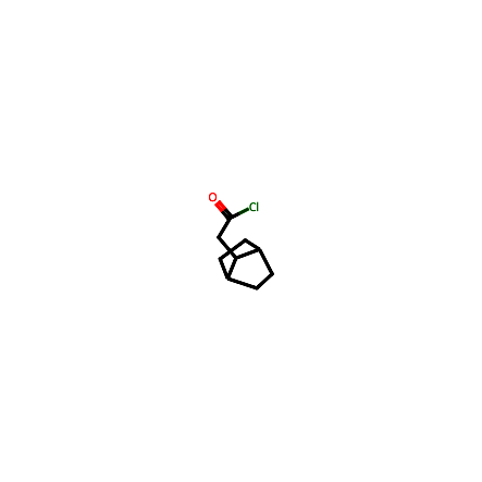 O=C(Cl)CC1C2CCC1CC2